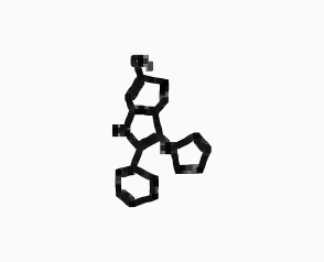 Cc1ccc2c([SH]3C=CC=C3)c(-c3ccccc3)[nH]c2c1